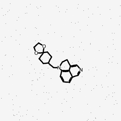 c1cc2c3c(cncc3c1)CCN2CC1CCC2(CC1)OCCO2